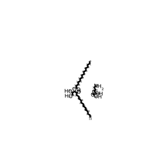 CCCCCCCCCCCCCCCC(=O)OC(C(=O)CCCCCCCCCCCCC)C(O)CO.NCCOP(=O)(O)O